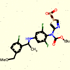 COCc1ccc(F)c(C(C)Nc2cc(F)c(N(C(=O)OC(C)(C)C)C3=C[S@](=S(=O)=O)C=N3)c(F)c2)c1